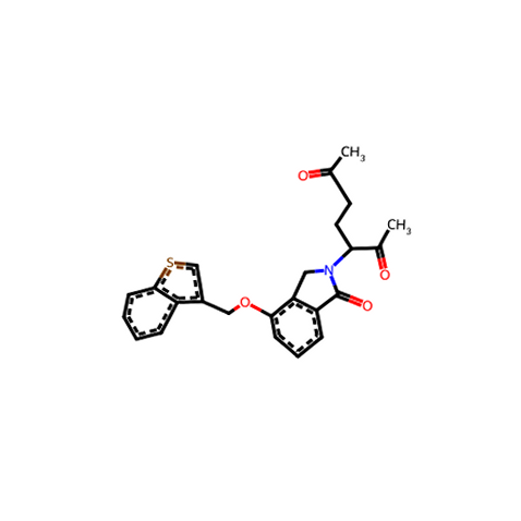 CC(=O)CCC(C(C)=O)N1Cc2c(OCc3csc4ccccc34)cccc2C1=O